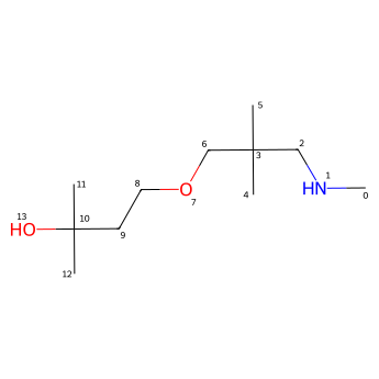 CNCC(C)(C)COCCC(C)(C)O